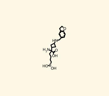 NC(CCCCB(O)O)(C(=O)O)C1CC(NCc2ccc3c(c2)CCO3)C1